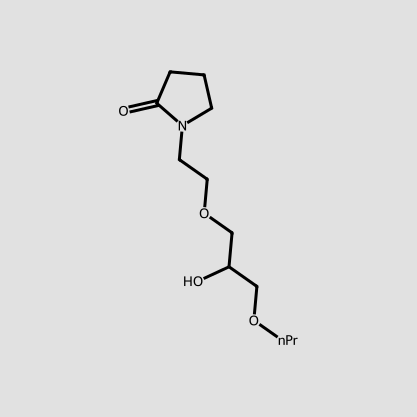 CCCOCC(O)COCCN1CCCC1=O